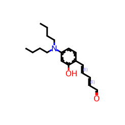 CCCCN(CCCC)c1ccc(/C=C/C=C/C=O)c(O)c1